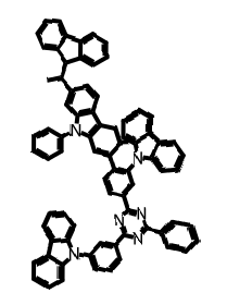 CC1Cc2c(n(-c3ccccc3)c3cc(C(C)C4c5ccccc5-c5ccccc54)ccc23)C=C1c1ccc(-c2nc(-c3ccccc3)nc(-c3cccc(-n4c5ccccc5c5ccccc54)c3)n2)cc1-n1c2ccccc2c2ccccc21